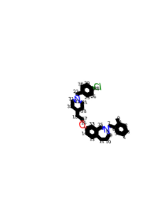 Cc1ccccc1CN1CCCc2ccc(OCCC3CCN(Cc4ccc(Cl)cc4)CC3)cc2C1